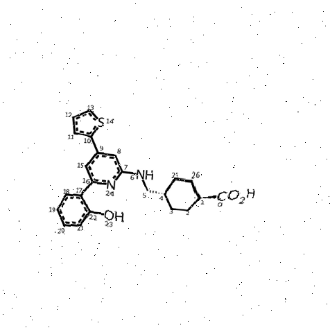 O=C(O)[C@H]1CC[C@H](CNc2cc(-c3cccs3)cc(-c3ccccc3O)n2)CC1